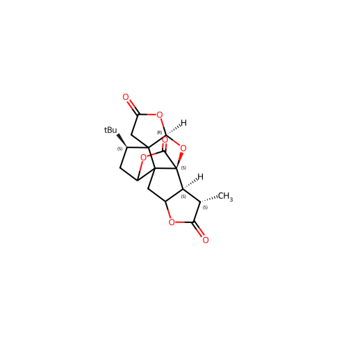 C[C@@H]1C(=O)OC2CC34C5C[C@@H](C(C)(C)C)C36CC(=O)O[C@H]6O[C@@]4(C(=O)O5)[C@H]21